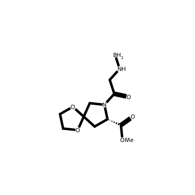 BNCC(=O)N1CC2(C[C@H]1C(=O)OC)OCCO2